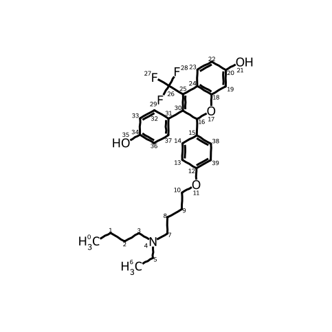 CCCCN(CC)CCCCOc1ccc(C2Oc3cc(O)ccc3C(C(F)(F)F)=C2c2ccc(O)cc2)cc1